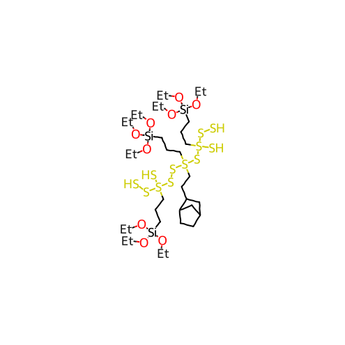 CCO[Si](CCCS(S)(SS)SSS(CCC[Si](OCC)(OCC)OCC)(CCC1CC2CCC1C2)SS(S)(CCC[Si](OCC)(OCC)OCC)SS)(OCC)OCC